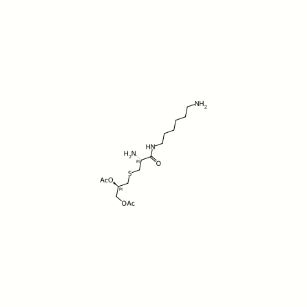 CC(=O)OC[C@H](CSC[C@H](N)C(=O)NCCCCCCN)OC(C)=O